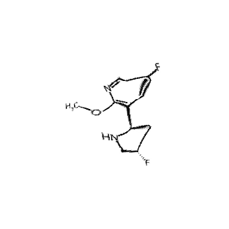 COc1ncc(F)cc1[C@H]1C[C@H](F)CN1